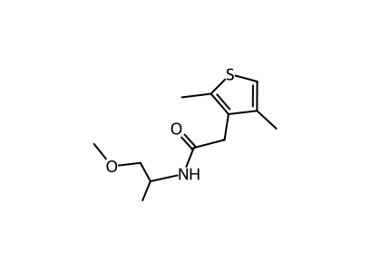 COCC(C)NC(=O)Cc1c(C)csc1C